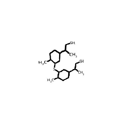 CC(CS)C1CCC(C)C(SC2CC(C(C)CS)CCC2C)C1